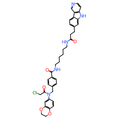 O=C(CCc1ccc2c(c1)[nH]c1ccncc12)NCCCCCCNC(=O)c1ccc(CN(C(=O)CCl)c2ccc3c(c2)OCCO3)cc1